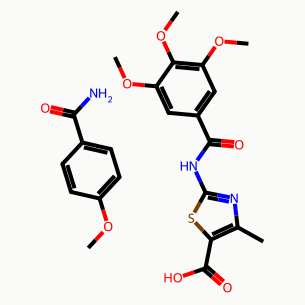 COc1cc(C(=O)Nc2nc(C)c(C(=O)O)s2)cc(OC)c1OC.COc1ccc(C(N)=O)cc1